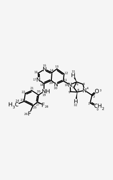 C=CC(=O)N1C[C@@H]2C[C@H]1CN2c1ccc2ncnc(Nc3ccc(C)c(F)c3F)c2n1